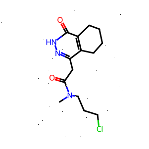 CN(CCCCl)C(=O)Cc1n[nH]c(=O)c2c1CCCC2